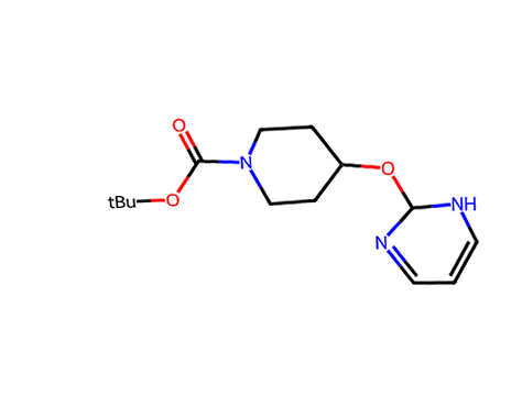 CC(C)(C)OC(=O)N1CCC(OC2N=CC=CN2)CC1